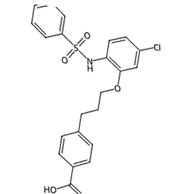 O=C(O)c1ccc(CCCOc2cc(Cl)ccc2NS(=O)(=O)c2ccccc2)cc1